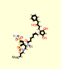 CCN(C(=O)CCC/C=C\C[C@@H]1[C@@H](CC[C@@H](O)Cc2ccccc2)[C@H](O)C[C@@H]1O)[C@H]1CN(CCCOC)S(=O)(=O)c2sc(S(N)(=O)=O)cc21